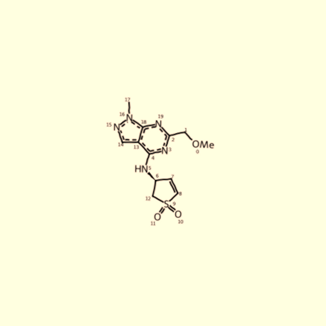 COCc1nc(N[C@H]2C=CS(=O)(=O)C2)c2cnn(C)c2n1